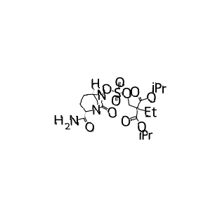 CCC(COS(=O)(=O)ON1C(=O)N2C[C@H]1CC[C@H]2C(N)=O)(C(=O)OC(C)C)C(=O)OC(C)C